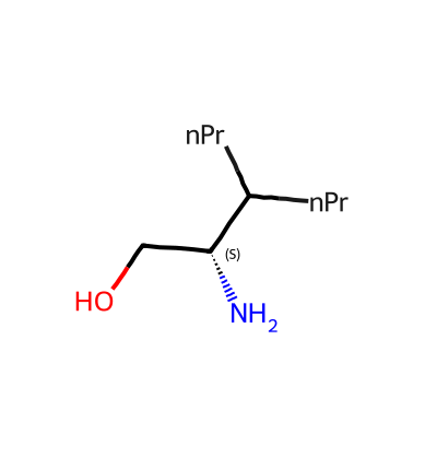 CCCC(CCC)[C@H](N)CO